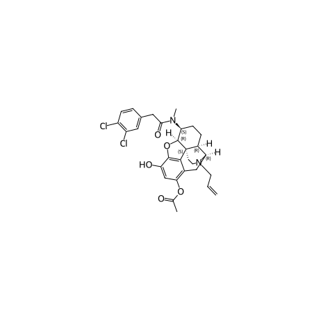 C=CCN1CC[C@]23c4c5c(OC(C)=O)cc(O)c4O[C@H]2[C@@H](N(C)C(=O)Cc2ccc(Cl)c(Cl)c2)CC[C@H]3[C@H]1C5